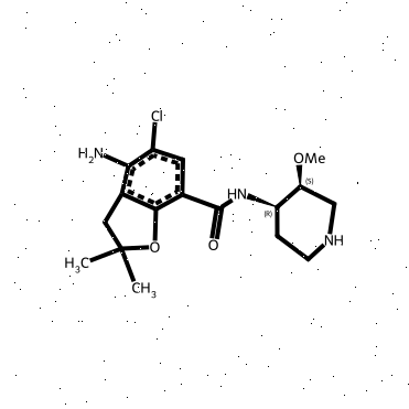 CO[C@H]1CNCC[C@H]1NC(=O)c1cc(Cl)c(N)c2c1OC(C)(C)C2